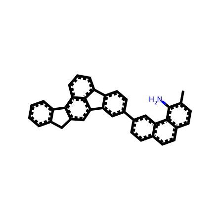 Cc1ccc2ccc3ccc(-c4ccc5c(c4)-c4cc6c(c7cccc-5c47)-c4ccccc4C6)cc3c2c1N